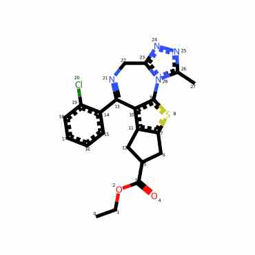 CCOC(=O)C1Cc2sc3c(c2C1)C(c1ccccc1Cl)=NCc1nnc(C)n1-3